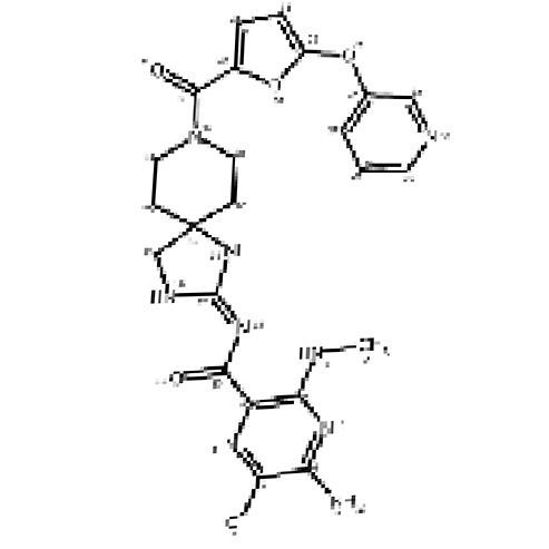 CNc1nc(N)c(Cl)nc1C(=O)/N=C1\NCC2(CCN(C(=O)c3ccc(Oc4cccnc4)o3)CC2)N1